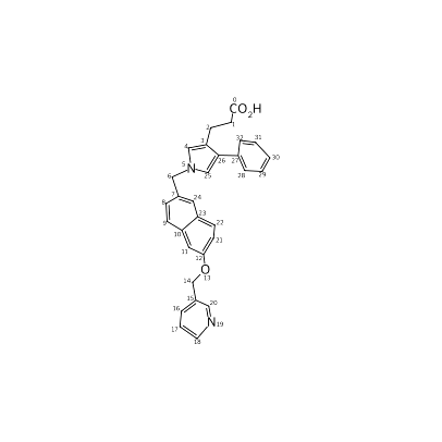 O=C(O)CCc1cn(Cc2ccc3cc(OCc4cccnc4)ccc3c2)cc1-c1ccccc1